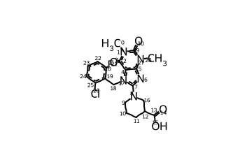 Cn1c(=O)c2c(nc(N3CCCC(C(=O)O)C3)n2Cc2c(F)cccc2Cl)n(C)c1=O